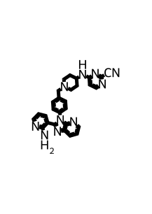 N#Cc1nccc(NC2CCN(Cc3ccc(-n4c(-c5cccnc5N)nc5cccnc54)cc3)CC2)n1